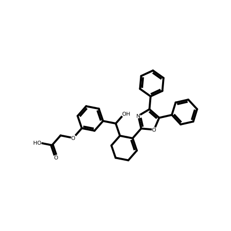 O=C(O)COc1cccc(C(O)C2CCCC=C2c2nc(-c3ccccc3)c(-c3ccccc3)o2)c1